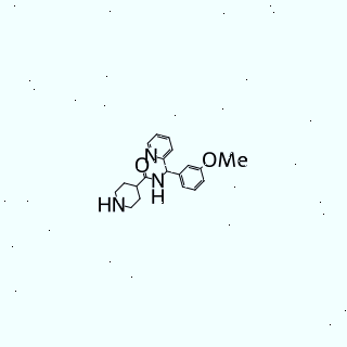 COc1cccc(C(NC(=O)C2CCNCC2)c2ccccn2)c1